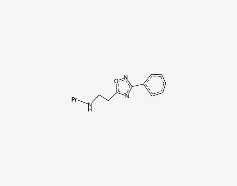 CC(C)NCCc1nc(-c2ccccc2)no1